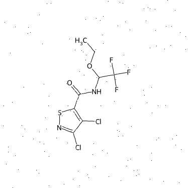 CCOC(NC(=O)c1snc(Cl)c1Cl)C(F)(F)F